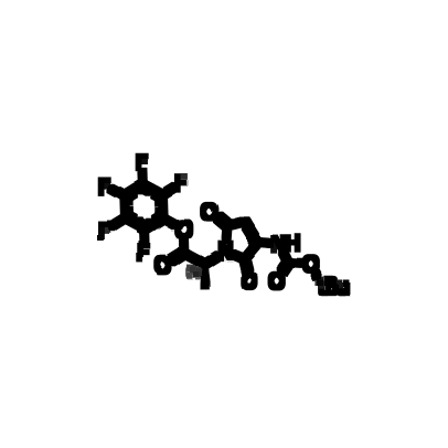 C[C@@H](C(=O)Oc1c(F)c(F)c(F)c(F)c1F)N1C(=O)C=C(NC(=O)OC(C)(C)C)C1=O